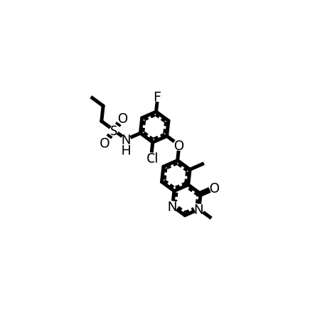 CCCS(=O)(=O)Nc1cc(F)cc(Oc2ccc3ncn(C)c(=O)c3c2C)c1Cl